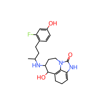 CC(CCc1ccc(O)cc1F)NC1CCn2c(=O)[nH]c3c2=C(CCC=3)C1O